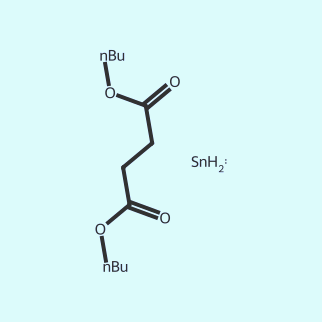 CCCCOC(=O)CCC(=O)OCCCC.[SnH2]